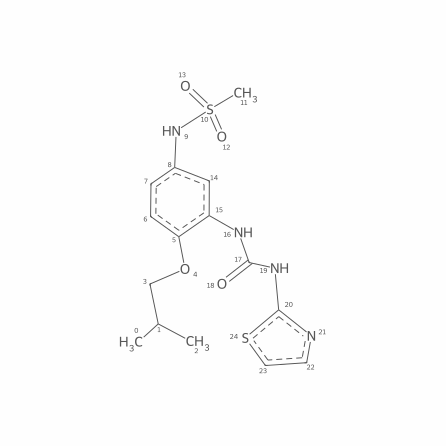 CC(C)COc1ccc(NS(C)(=O)=O)cc1NC(=O)Nc1nccs1